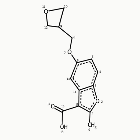 Cc1oc2ccc(OCC3COC3)cc2c1C(=O)O